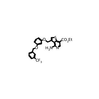 CCOC(=O)c1cnc(N)c2c(COc3cccc(OCc4cccc(C(F)(F)F)c4)c3)csc12